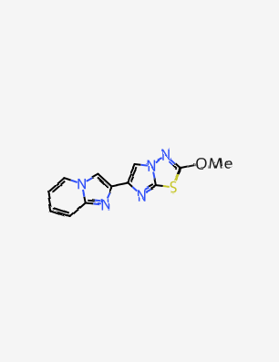 COc1nn2cc(-c3cn4ccccc4n3)nc2s1